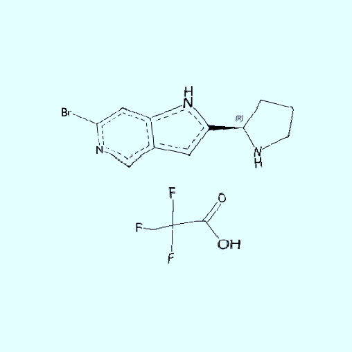 Brc1cc2[nH]c([C@H]3CCCN3)cc2cn1.O=C(O)C(F)(F)F